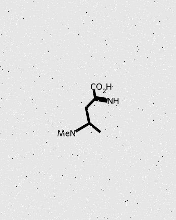 CNC(C)CC(=N)C(=O)O